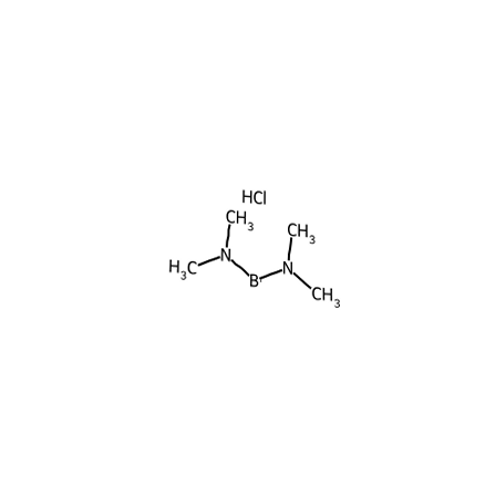 CN(C)[B]N(C)C.Cl